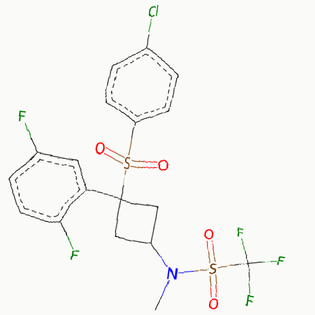 CN(C1CC(c2cc(F)ccc2F)(S(=O)(=O)c2ccc(Cl)cc2)C1)S(=O)(=O)C(F)(F)F